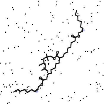 CCCCCC/C=C\COC(=O)CCCCCCCC(CCCCCCCC(=O)OC/C=C\CCCCCC)C(=O)OCC(C)(C)CC(C)CN(C)C